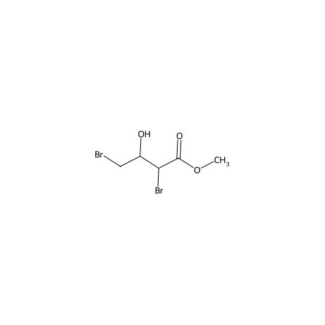 COC(=O)C(Br)C(O)CBr